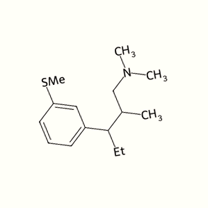 CCC(c1cccc(SC)c1)C(C)CN(C)C